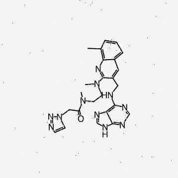 Cc1cccc2cc(CNc3ncnc4[nH]cnc34)c(N(C)CCN(C)C(=O)Cn3ccnn3)nc12